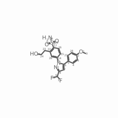 COc1ccc(-c2cc(C(F)F)nn2-c2ccc(S(N)(=O)=O)c(CCO)c2)cc1